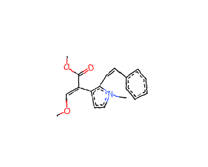 CO/C=C(/C(=O)OC)c1ccn(C)c1/C=C\c1ccccc1